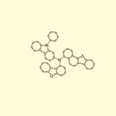 c1ccc(-n2c3ccccc3c3ccc(N(c4cccc5c4ccc4c6ccccc6sc54)c4cccc5oc6ccccc6c45)cc32)cc1